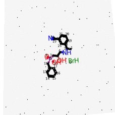 Br.CC(NC[C@H](O)CP(=O)(O)Cc1ccccc1)c1cccc(C#N)c1